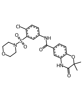 CC1(C)Oc2ccc(C(=O)Nc3ccc(Cl)c(S(=O)(=O)N4CCOCC4)c3)cc2NC1=O